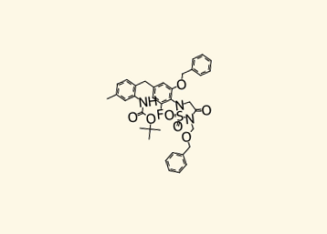 Cc1ccc(Cc2cc(F)c(N3CC(=O)N(COCc4ccccc4)S3(=O)=O)c(OCc3ccccc3)c2)c(NC(=O)OC(C)(C)C)c1